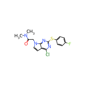 CN(C)C(=O)Cn1ccc2c(Cl)nc(Sc3ccc(F)cc3)nc21